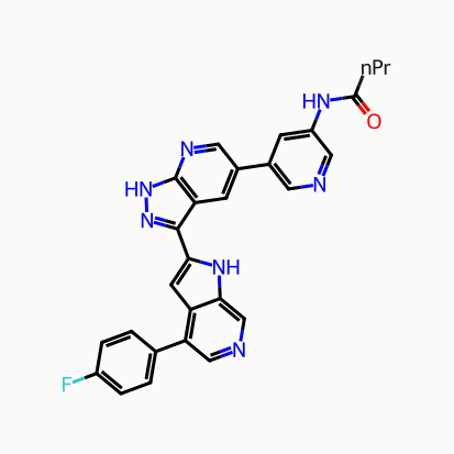 CCCC(=O)Nc1cncc(-c2cnc3[nH]nc(-c4cc5c(-c6ccc(F)cc6)cncc5[nH]4)c3c2)c1